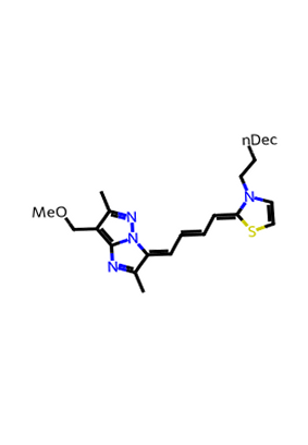 CCCCCCCCCCCCN1C=CS\C1=C/C=C/C=c1/c(C)nc2c(COC)c(C)nn12